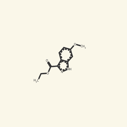 CCOC(=O)c1n[nH]c2cc(OC)ccc12